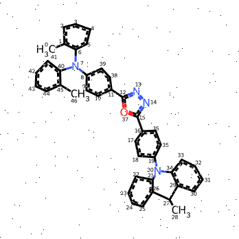 Cc1ccccc1N(c1ccc(-c2nnc(-c3ccc(N4c5ccccc5C(C)c5ccccc54)cc3)o2)cc1)c1ccccc1C